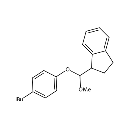 CCC(C)c1ccc(OC(OC)C2CCc3ccccc32)cc1